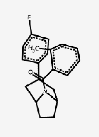 Cc1ccccc1C(=O)N1C2CCC1CC(c1ccc(F)cc1)C2